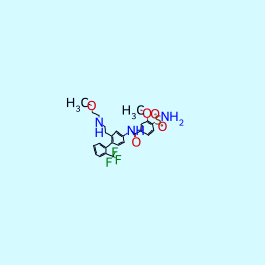 COCCNCCc1cc(NC(=O)c2ccc(S(N)(=O)=O)c(OC)c2)ccc1-c1ccccc1C(F)(F)F